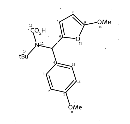 COc1ccc(C(c2ccc(OC)o2)N(C(=O)O)C(C)(C)C)cc1